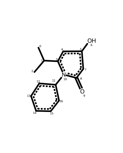 CC(C)c1cc(O)cc(=O)n1-c1ccccc1